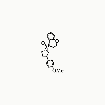 COc1ccc(C2CCN(C(=O)N3CCOc4ccccc43)C2)cc1